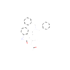 CCC(=O)CC(C)[C@@]1(CCN(Cc2ccccc2)Cc2ccccc2)C(=O)Nc2ccccc21